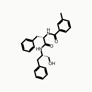 Cc1cccc(C(=O)N[C@@H](Cc2ccccc2)C(=O)N[C@H](CO)Cc2ccccc2)c1